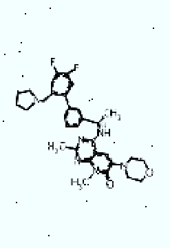 Cc1nc(N[C@H](C)c2cccc(-c3cc(F)c(F)cc3CN3CCCC3)c2)c2cc(N3CCOCC3)c(=O)n(C)c2n1